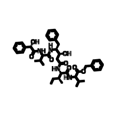 CC[C@H](C)[C@H](NC(=O)C[C@H](O)[C@H](Cc1ccccc1)NC(=O)C(NC(=O)[C@@H](O)c1ccccc1)C(C)C)C(=O)NC(C(=O)OCc1ccccc1)C(C)C